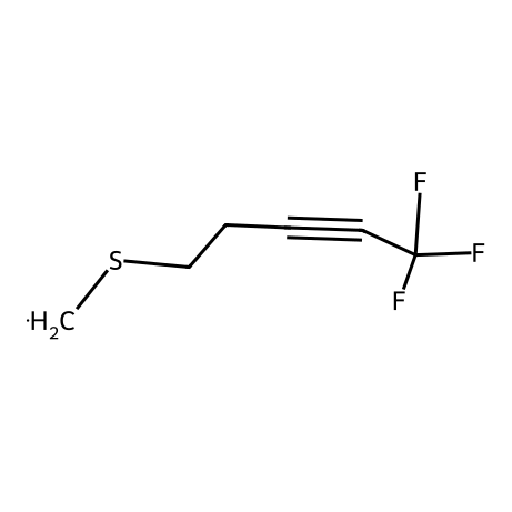 [CH2]SCCC#CC(F)(F)F